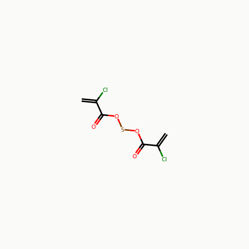 C=C(Cl)C(=O)OSOC(=O)C(=C)Cl